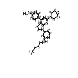 CCCCNc1cc(N2CCc3c(-c4cnc(N)nc4)nc(N4CCOCC4)nc32)ccn1